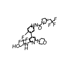 Cc1ccc(NC(=O)N2CC[C@@H](CC(F)(F)F)C2)cc1-c1cc(N[C@@H](CO)C(F)(F)F)nc(N2CCOCC2)c1